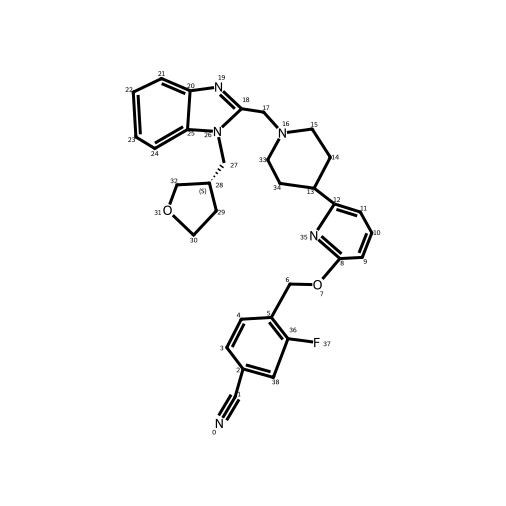 N#Cc1ccc(COc2cccc(C3CCN(Cc4nc5ccccc5n4C[C@@H]4CCOC4)CC3)n2)c(F)c1